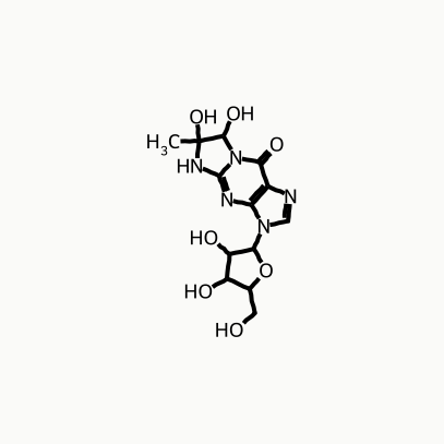 CC1(O)Nc2nc3c(ncn3C3OC(CO)C(O)C3O)c(=O)n2C1O